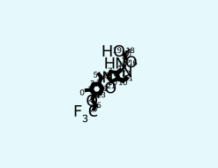 Cc1cc(C(C)N2Cc3c(ccnc3NC(=O)[C@H](C)O)C2=O)ccc1OCC(F)(F)F